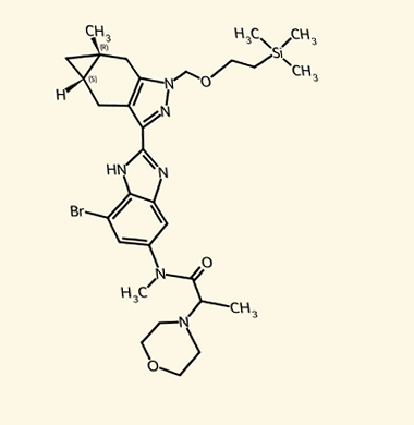 CC(C(=O)N(C)c1cc(Br)c2[nH]c(-c3nn(COCC[Si](C)(C)C)c4c3C[C@@H]3C[C@]3(C)C4)nc2c1)N1CCOCC1